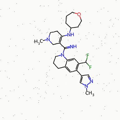 CN1CCC(NC2CCCOCC2)=C(C(=N)N2CCCc3cc(-c4cnn(C)c4)c(C(F)F)cc32)C1